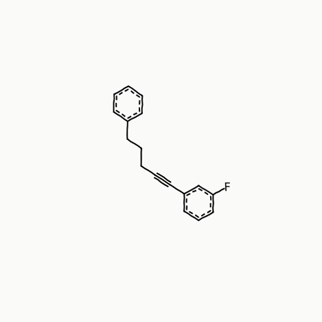 Fc1cccc(C#CCCCc2ccccc2)c1